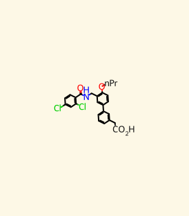 CCCOc1ccc(-c2cccc(CC(=O)O)c2)cc1CNC(=O)c1ccc(Cl)cc1Cl